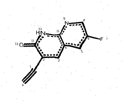 C#Cc1cc2cc(F)cnc2[nH]c1=O